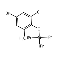 Cc1cc(Br)cc(Cl)c1O[Si](C(C)C)(C(C)C)C(C)C